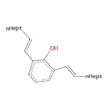 CCCCCCCC=Cc1cccc(C=CCCCCCCC)c1O